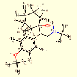 [2H]c1c([2H])c(C(CN(C)C([2H])([2H])[2H])C2(O)C([2H])([2H])C([2H])([2H])C([2H])([2H])C([2H])([2H])C2([2H])[2H])c([2H])c([2H])c1OC([2H])([2H])[2H]